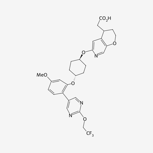 COc1ccc(-c2cnc(OCC(F)(F)F)nc2)c(O[C@H]2CC[C@H](Oc3cc4c(cn3)OCCC4CC(=O)O)CC2)c1